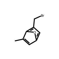 Cc1cc2cc(CBr)c1o2